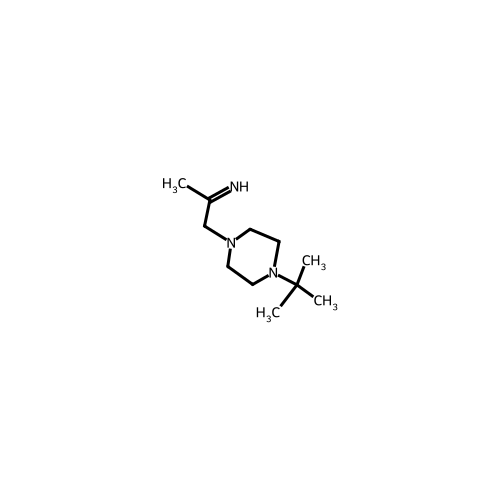 CC(=N)CN1CCN(C(C)(C)C)CC1